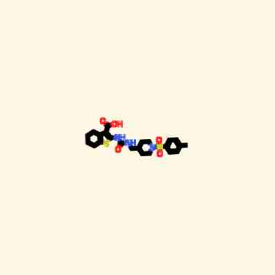 Cc1ccc(S(=O)(=O)N2CCC(CNC(=O)Nc3sc4c(c3C(=O)O)CCCC4)CC2)cc1